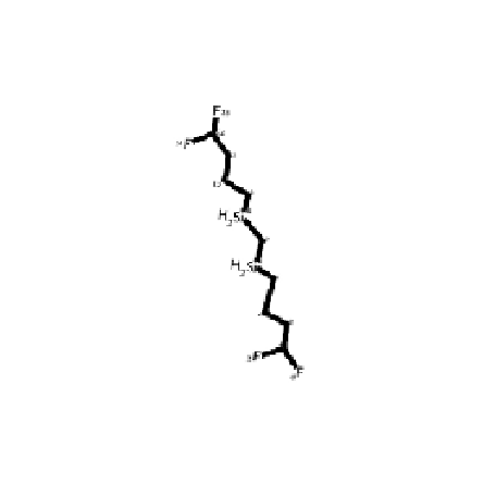 FC(F)CCC[SiH2]C[SiH2]CCCC(F)F